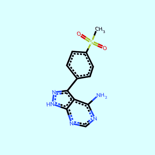 CS(=O)(=O)c1ccc(-c2n[nH]c3ncnc(N)c23)cc1